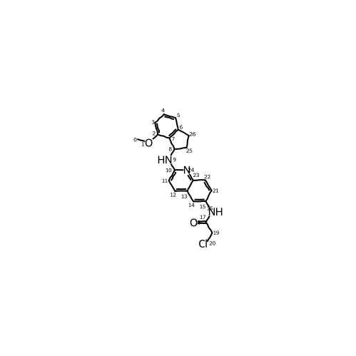 COc1cccc2c1C(Nc1ccc3cc(NC(=O)CCl)ccc3n1)CC2